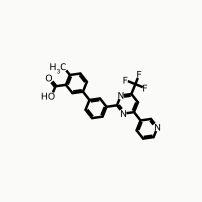 Cc1ccc(-c2cccc(-c3nc(-c4cccnc4)cc(C(F)(F)F)n3)c2)cc1C(=O)O